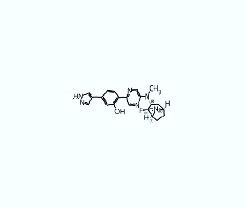 CN(c1cnc(-c2ccc(-c3cn[nH]c3)cc2O)cn1)[C@@H]1C[C@H]2CC[C@H](N2)[C@H]1F